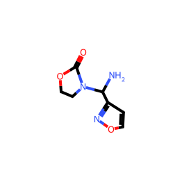 NC(c1ccon1)N1CCOC1=O